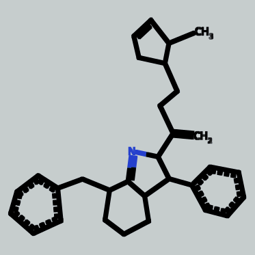 C=C(CCC1CC=CC1C)C1N=C2C(Cc3ccccc3)CCCC2C1c1ccccc1